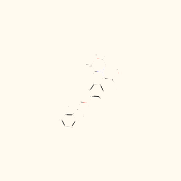 CC1CN(C(c2ccc(OC[Si](C)(C)c3ccccc3)cc2)C(C)O)CC(C)O1